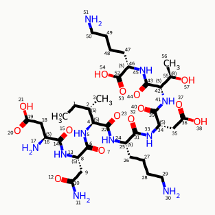 CC[C@H](C)[C@H](NC(=O)[C@H](CC(N)=O)NC(=O)[C@@H](N)CC(=O)O)C(=O)N[C@@H](CCCCN)C(=O)N[C@@H](CC(=O)O)C(=O)N[C@H](C(=O)N[C@@H](CCCCN)C(=O)O)[C@@H](C)O